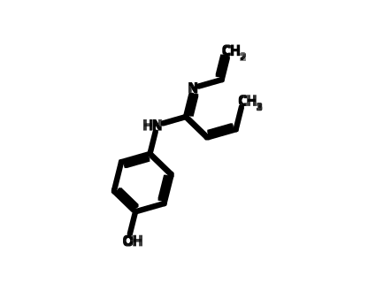 C=C/N=C(\C=C/C)Nc1ccc(O)cc1